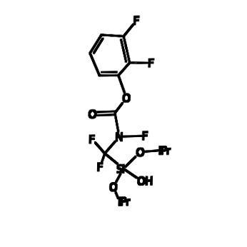 CC(C)O[Si](O)(OC(C)C)C(F)(F)N(F)C(=O)Oc1cccc(F)c1F